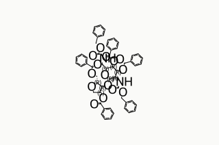 O=C(NC[C@@H]1O[C@H](O[C@H]2[C@@H](OC(=O)c3ccccc3)CO[C@@H]2COC(=O)c2ccccc2)[C@H](NC(=O)OCc2ccccc2)[C@@H](OC(=O)c2ccccc2)[C@@H]1OC(=O)c1ccccc1)OCc1ccccc1